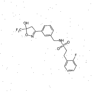 O=S(=O)(CCc1ccccc1F)NCc1cccc(C2=NOC(O)(C(F)(F)F)C2)c1